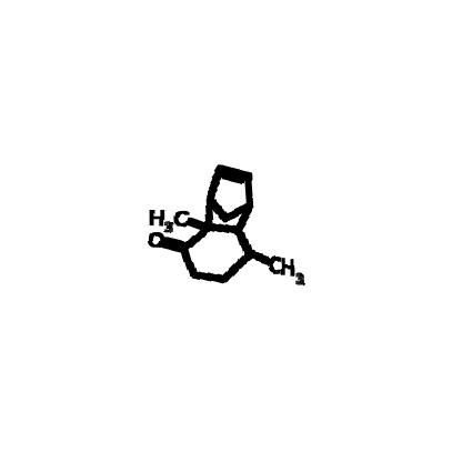 CC1CCC(=O)C2(C)C3C=CC(C3)C12